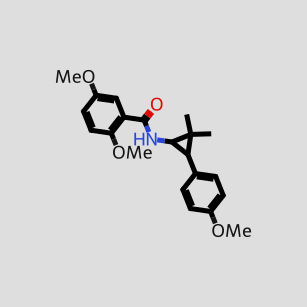 COc1ccc(C2C(NC(=O)c3cc(OC)ccc3OC)C2(C)C)cc1